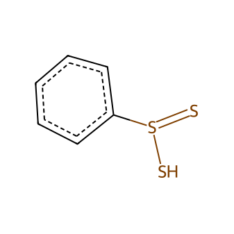 S=S(S)c1ccccc1